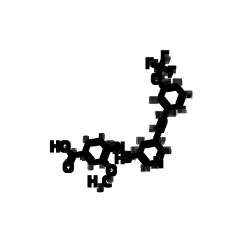 COc1cc(C(=O)O)ccc1NSc1cncc(C#Cc2cccc(OC(F)(F)F)c2)c1